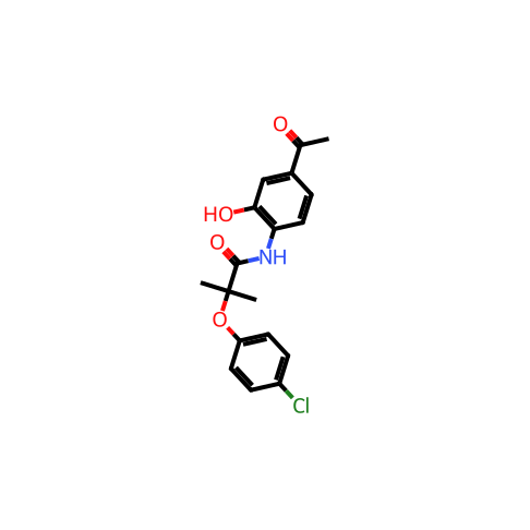 CC(=O)c1ccc(NC(=O)C(C)(C)Oc2ccc(Cl)cc2)c(O)c1